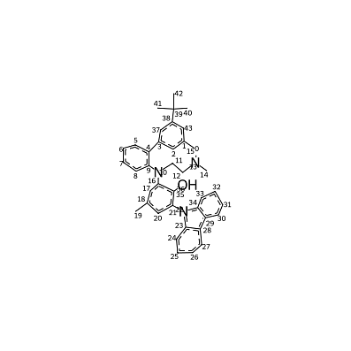 Cc1cc(-c2ccccc2N(CCN(C)C)c2cc(C)cc(-n3c4ccccc4c4ccccc43)c2O)cc(C(C)(C)C)c1